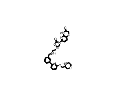 O=C1COc2ccc(N3C[C@H](CCNCc4cccc(-c5cccc(OCC6COCCN6)n5)c4)OC3=O)nc2N1